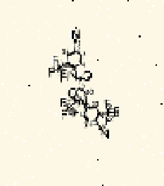 N#Cc1ccc(NC(=O)[C@@H]2CN(c3ccc(C#N)c(C(F)(F)F)c3)[C@@H](C(F)(F)F)O2)c(C(F)(F)F)c1